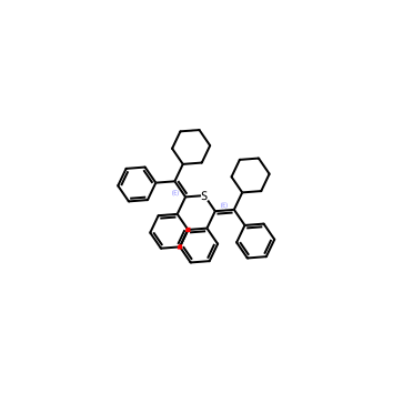 c1ccc(/C(S/C(=C(/c2ccccc2)C2CCCCC2)c2ccccc2)=C(\c2ccccc2)C2CCCCC2)cc1